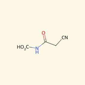 N#CCC(=O)NC(=O)O